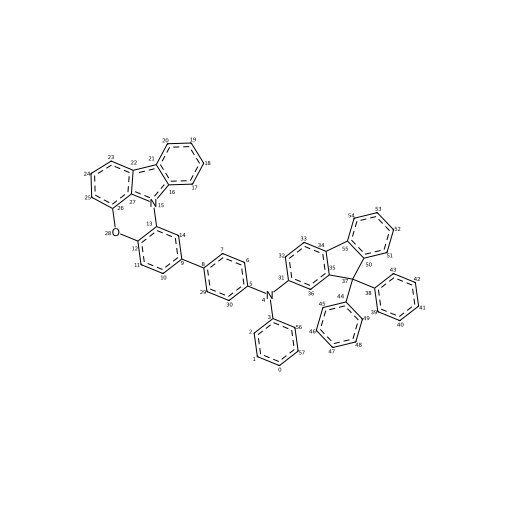 c1ccc(N(c2ccc(-c3ccc4c(c3)-n3c5ccccc5c5cccc(c53)O4)cc2)c2ccc3c(c2)C(c2ccccc2)(c2ccccc2)c2ccccc2-3)cc1